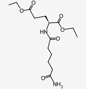 CCOC(=O)CC[C@H](NC(=O)CCCCC(N)=O)C(=O)OCC